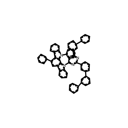 c1ccc(-c2cccc(-c3cccc(-c4nc(-c5cccc(-c6ccccc6)c5)nc(-n5c6ccccc6c6cc(-c7ccccc7)c7c8ccccc8n(-c8ccccc8)c7c65)n4)c3)c2)cc1